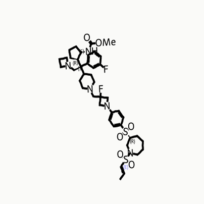 C/C=C/S(=O)(=O)N1CCCC[C@@H](S(=O)(=O)c2ccc(N3CC(F)(CN4CCC([C@@](CN5CCC5)(c5cccc(F)c5)[C@H]5CCC[C@@H]5NC(=O)OC)CC4)C3)cc2)C1